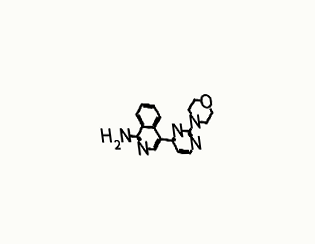 Nc1ncc(-c2ccnc(N3CCOCC3)n2)c2ccccc12